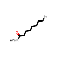 CC/C=C/CCCCCC(=O)CCCCC